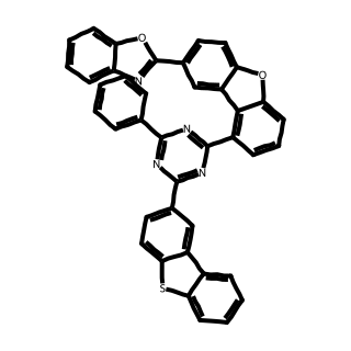 c1ccc(-c2nc(-c3ccc4sc5ccccc5c4c3)nc(-c3cccc4oc5ccc(-c6nc7ccccc7o6)cc5c34)n2)cc1